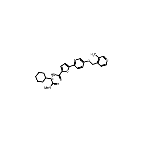 CNC(=O)[C@@H](NC(=O)c1ccc(-c2ccc(OCc3ccncc3C)cn2)o1)C1CCCCC1